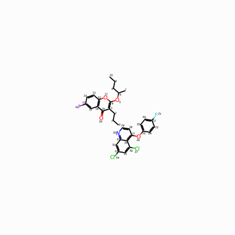 CCCc1c(OC(C)CCC)oc2ccc(I)cc2c1=O.Fc1ccc(Oc2ccnc3cc(Cl)cc(Cl)c23)cc1